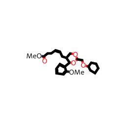 COC(=O)CC/C=C\CC1COC(COC2CCCCC2)OC1c1ccccc1OC